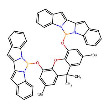 CC(C)(C)c1cc(Op2n3c4ccccc4cc3c3cc4ccccc4n32)c2c(c1)C(C)(C)c1cc(C(C)(C)C)cc(Op3n4c5ccccc5cc4c4cc5ccccc5n43)c1O2